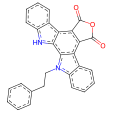 O=C1OC(=O)c2c1c1c3ccccc3[nH]c1c1c2c2ccccc2n1CCc1ccccc1